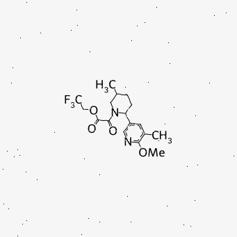 COc1ncc(C2CCC(C)CN2C(=O)C(=O)OCC(F)(F)F)cc1C